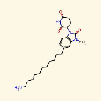 Cn1c(=O)n(C2CCC(=O)NC2=O)c2ccc(CCCCCCCCCCCN)cc21